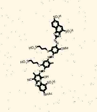 COc1cc(N=Nc2cc(OCCCS(=O)(=O)O)c(N=Nc3c(C)c(C#N)c4nc5cc(NC(C)=O)cc(S(=O)(=O)O)c5n4c3O)cc2C)c(SCCCS(=O)(=O)O)cc1N=Nc1nc2c(S(=O)(=O)O)cc3cc(S(=O)(=O)O)ccc3c2s1